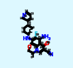 C[C@H]1COc2c(N[C@H]3CC[C@@H](c4cccnc4)CC3)c(F)c(N)c3c(=O)c(C#N)cn1c23